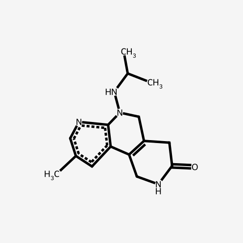 Cc1cnc2c(c1)C1=C(CC(=O)NC1)CN2NC(C)C